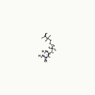 C=C(C)C(C)(C)CCOC(C)(C)C/C(N)=C/N(N)CC